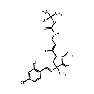 COC(=O)C(C)(CCC(F)=CCNC(=O)OC(C)(C)C)N=Cc1ccc(Cl)cc1Cl